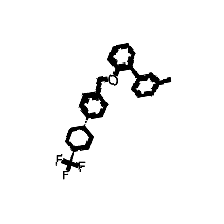 Cc1cccc(-c2ccccc2OCc2ccc([C@H]3CC[C@H](C(F)(F)F)CC3)cc2)c1